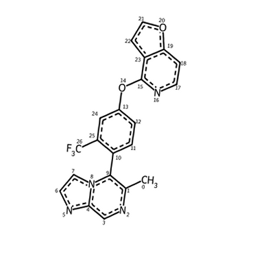 Cc1ncc2nccn2c1-c1ccc(Oc2nccc3occc23)cc1C(F)(F)F